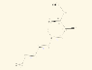 CC(/C=C/C=C/C=O)=C\[C@H](C)[C@@H](O)CC=O